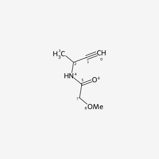 C#CC(C)NC(=O)COC